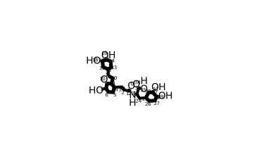 O=C(C=Cc1ccc(O)c2oc(-c3ccc(O)c(O)c3)cc12)NC(Cc1ccc(O)c(O)c1)C(=O)O